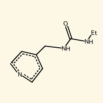 CCNC(=O)NCc1ccncc1